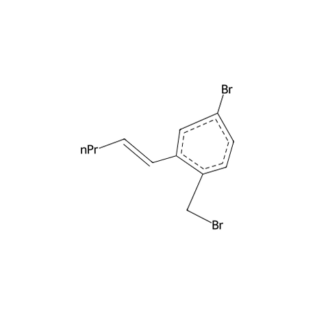 CCC/C=C/c1cc(Br)ccc1CBr